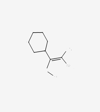 CCS/C(=C(/C#N)[N+](=O)[O-])C1CCCCC1